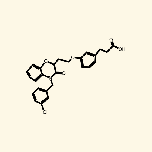 O=C(O)CCc1cccc(OCCC2Oc3ccccc3N(Cc3cccc(Cl)c3)C2=O)c1